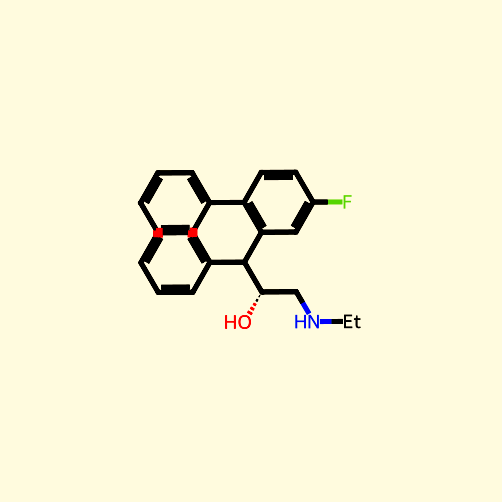 CCNC[C@H](O)C(c1ccccc1)c1cc(F)ccc1-c1ccccc1